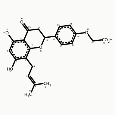 CC(C)=CCc1c(O)cc(O)c2c1OC(c1ccc(OCC(=O)O)cc1)CC2=O